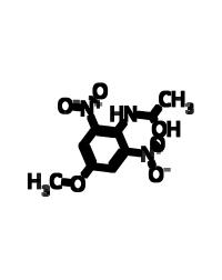 COc1cc([N+](=O)[O-])c(NC(C)O)c([N+](=O)[O-])c1